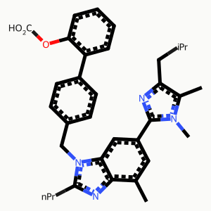 CCCc1nc2c(C)cc(-c3nc(CC(C)C)c(C)n3C)cc2n1Cc1ccc(-c2ccccc2OC(=O)O)cc1